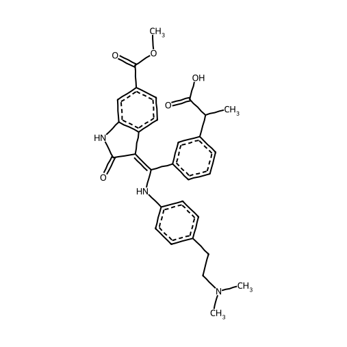 COC(=O)c1ccc2c(c1)NC(=O)/C2=C(\Nc1ccc(CCN(C)C)cc1)c1cccc(C(C)C(=O)O)c1